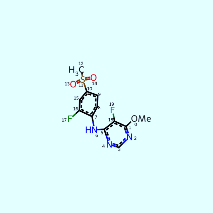 COc1ncnc(Nc2ccc(S(C)(=O)=O)cc2F)c1F